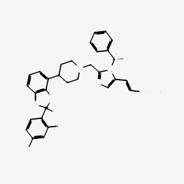 C[C@H](c1ccccc1)n1c(/C=C/C(=O)O)cnc1CN1CCC(c2cccc3c2OC(C)(c2ccc(Cl)cc2F)O3)CC1